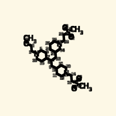 COCCN1CCC([C](CC2CCN(CCS(C)(=O)=O)CC2)CC2CCCN(CCS(C)(=O)=O)C2)CC1